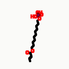 CC=CC(=O)OCCCCCCCCCCCOP(=O)(O)O